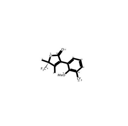 COc1c(C2=C(C)[C@](C)(C(F)(F)F)OC2=O)cccc1C(F)(F)F